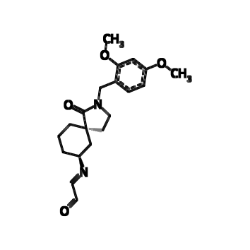 COc1ccc(CN2CC[C@]3(CCC[C@H](N=CC=O)C3)C2=O)c(OC)c1